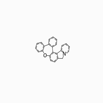 c1ccc2c(c1)Oc1ccc3c(c1-c1ccccc1-2)-c1cccc[n+]1C3